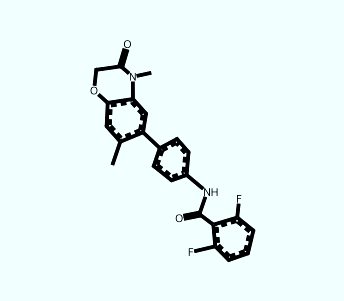 Cc1cc2c(cc1-c1ccc(NC(=O)c3c(F)cccc3F)cc1)N(C)C(=O)CO2